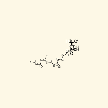 CC=CC(C)CC(C)=CCCC(C)=CCCCOP(=O)(O)CP(=O)(O)O